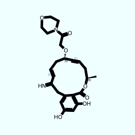 C[C@@H]1C/C=C/[C@@H](OCC(=O)N2CCOCC2)C/C=C/C(=N)Cc2cc(O)cc(O)c2C(=O)O1